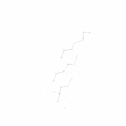 CCCCC1CCC(C2CCC(C(F)(F)CC)CC2)CC1